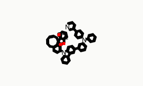 C=C1/C=C\C=C/Cc2ccc(-n3c4ccccc4c4cc(-c5cccc(N(c6ccccc6)c6ccc(-c7cccnc7)cc6)c5)ccc43)cc2C12c1ccccc1-c1ccccc12